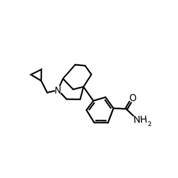 NC(=O)c1cccc(C23CCCC(C2)N(CC2CC2)CC3)c1